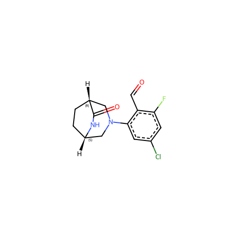 O=Cc1c(F)cc(Cl)cc1N1C[C@@H]2CC[C@H](C1)C(=O)N2